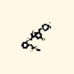 CCOC(=O)Cc1ccccc1OCc1coc2c(CN3CCC(F)(F)CC3)cc(Br)cc12